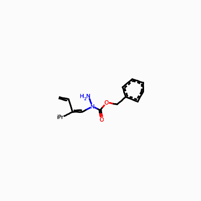 C=C/C(=C\N(N)C(=O)OCc1ccccc1)C(C)C